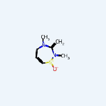 C=C1N(C)CC=C[S+]([O-])N1C